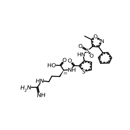 Cc1onc(-c2ccccc2)c1S(=O)(=O)Nc1ccsc1C(=O)N[C@@H](CCCNC(=N)N)C(=O)O